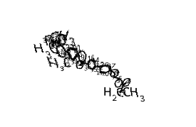 C=C(C)C(=O)OCCOc1ccc(-c2ccc(C(=O)Oc3ccc(OC(=O)C(C)(C)F)c(C)c3)cc2)cc1